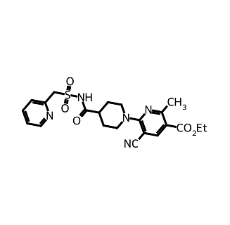 CCOC(=O)c1cc(C#N)c(N2CCC(C(=O)NS(=O)(=O)Cc3ccccn3)CC2)nc1C